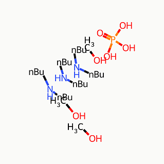 CCCCNCCCC.CCCCNCCCC.CCCCNCCCC.CO.CO.CO.O=P(O)(O)O